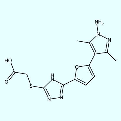 Cc1nn(N)c(C)c1-c1ccc(-c2nnc(SCC(=O)O)[nH]2)o1